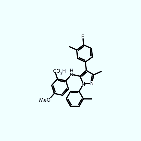 COc1ccc(Nc2c(-c3ccc(F)c(C)c3)c(C)nn2-c2ccccc2C)c(C(=O)O)c1